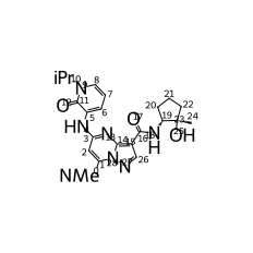 CNc1cc(Nc2cccn(C(C)C)c2=O)nc2c(C(=O)N[C@H]3CCC[C@]3(C)O)cnn12